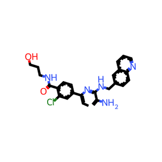 C=C(N)/C(=N\C(=C/C)c1ccc(C(=O)NCCCO)c(Cl)c1)NCc1ccc2ncccc2c1